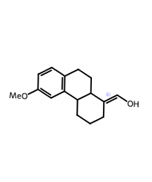 COc1ccc2c(c1)C1CCC/C(=C\O)C1CC2